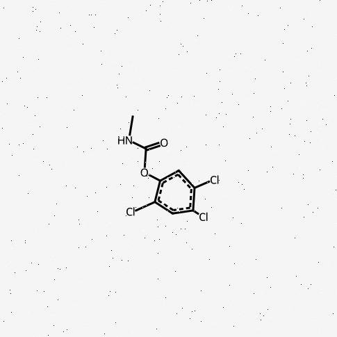 CNC(=O)Oc1cc(Cl)c(Cl)cc1Cl